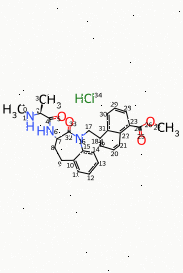 CN[C@@H](C)C(=O)N[C@H]1CCc2ccccc2N(Cc2cccc3c(C(=O)OC)cccc23)C1=O.Cl